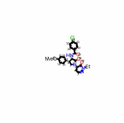 CCn1nccc(N2C[C@@H](c3ccc(OC)cc3)[C@H](NC(=O)c3ccc(Cl)cc3)C2=O)c1=O